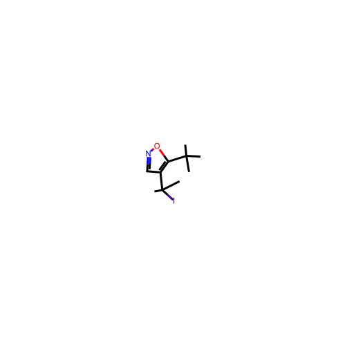 CC(C)(C)c1oncc1C(C)(C)I